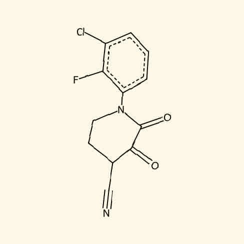 N#CC1CCN(c2cccc(Cl)c2F)C(=O)C1=O